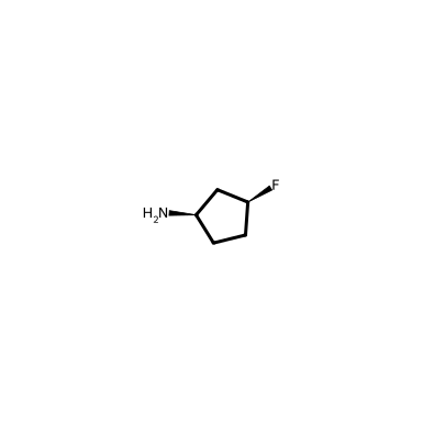 N[C@@H]1CC[C@H](F)C1